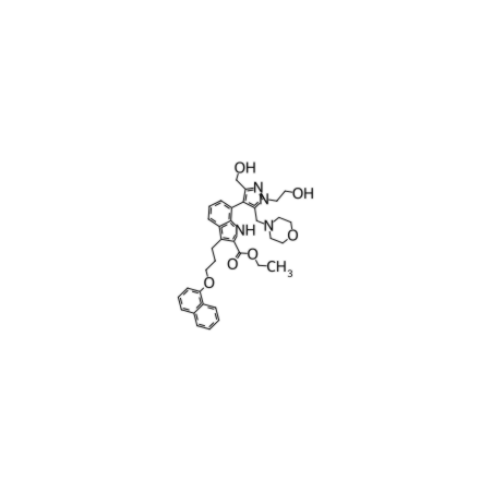 CCOC(=O)c1[nH]c2c(-c3c(CO)nn(CCO)c3CN3CCOCC3)cccc2c1CCCOc1cccc2ccccc12